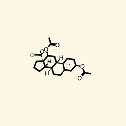 CC(=O)O[C@@H]1CC[C@@]2(C)C(CC[C@H]3[C@@H]4CCC[C@@]4(C(=O)Cl)[C@@H](OC(C)=O)C[C@@H]32)C1